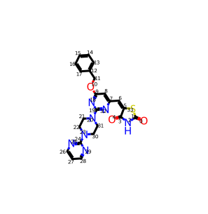 O=C1NC(=O)/C(=C\c2cc(OCc3ccccc3)nc(N3CCN(c4ncccn4)CC3)n2)S1